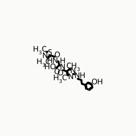 Cc1nc(C)c(C(=O)NCC(NC(=O)c2c(C)nc(NCCCc3cccc(O)c3)nc2C)C(=O)O)s1